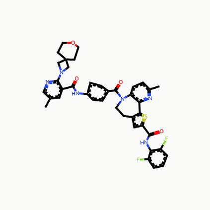 Cc1cnc(N2CC3(CCOCC3)C2)c(C(=O)Nc2ccc(C(=O)N3CCc4cc(C(=O)Nc5c(F)cccc5F)sc4-c4nc(C)ccc43)cc2)c1